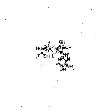 CCC(O)P(=O)(O)OC(CC)(CC)C[C@H]1O[C@@H](n2cnc3c(N)[n+](O)cnc32)[C@H](O)[C@@H]1O